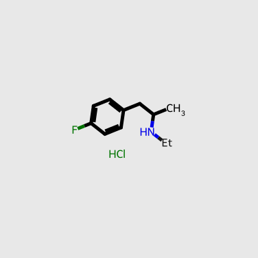 CCNC(C)Cc1ccc(F)cc1.Cl